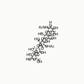 CC(=O)N[C@H]1[C@H](O[C@H]2[C@@H](O)[C@@H](CO)O[C@@H](O[C@H]3[C@H](O)[C@@H](O)C(O)O[C@@H]3CO)[C@@H]2O)O[C@H](CO)[C@@H](O[C@@H]2O[C@H](CO)[C@H](O)[C@H](O[C@@H]3O[C@H](CO)[C@@H](O)[C@H](O)[C@H]3NC(C)=O)[C@H]2O)[C@@H]1O